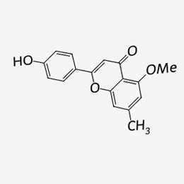 COc1cc(C)cc2oc(-c3ccc(O)cc3)cc(=O)c12